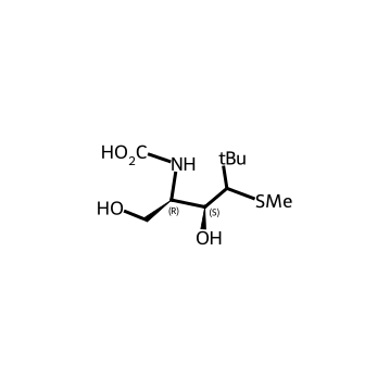 CSC([C@@H](O)[C@@H](CO)NC(=O)O)C(C)(C)C